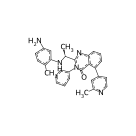 Cc1cc(-c2cccc3nc([C@H](C)Nc4cc(N)ccc4C)n(-c4ccccc4)c(=O)c23)ccn1